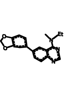 CCN(C)c1ncnc2ccc(-c3ccc4c(c3)OCO4)cc12